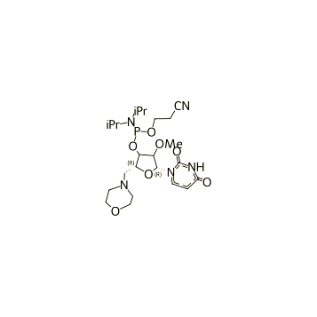 COC1C(OP(OCCC#N)N(C(C)C)C(C)C)[C@@H](CN2CCOCC2)O[C@H]1n1ccc(=O)[nH]c1=O